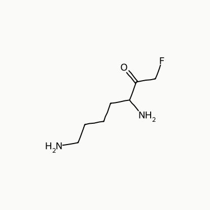 NCCCCC(N)C(=O)CF